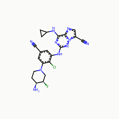 N#Cc1cc(Nc2nc(NC3CC3)c3ncc(C#N)n3n2)c(Cl)c(N2CC[C@H](N)[C@H](F)C2)c1